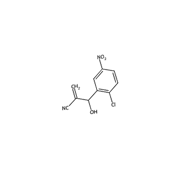 C=C(C#N)C(O)c1cc([N+](=O)[O-])ccc1Cl